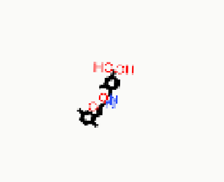 Cc1cc(C(O)O)ccc1-c1nnc(-c2cc3c(C)ccc(C)c3o2)o1